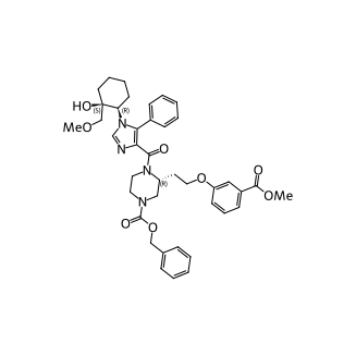 COC[C@]1(O)CCCC[C@H]1n1cnc(C(=O)N2CCN(C(=O)OCc3ccccc3)C[C@H]2CCOc2cccc(C(=O)OC)c2)c1-c1ccccc1